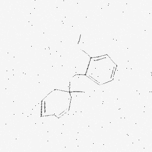 COc1ccccc1OC1(C)[CH]C=CC=C1